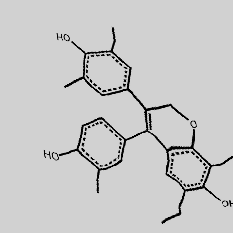 CCc1cc2c(c(C)c1O)OCC(c1cc(C)c(O)c(C)c1)=C2c1ccc(O)c(C)c1